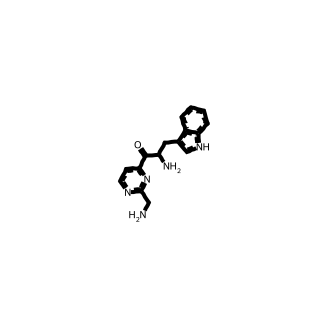 NCc1nccc(C(=O)C(N)Cc2c[nH]c3ccccc23)n1